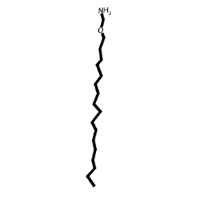 CCCCCCCCCCCCCCCCCOCN